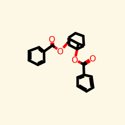 O=C(OC1C2CCC(CC2)C1OC(=O)c1ccccc1)c1ccccc1